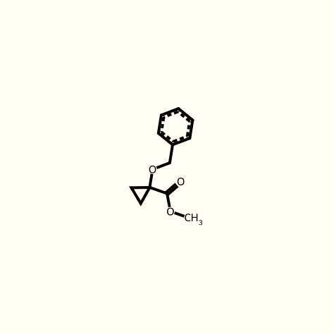 COC(=O)C1(OCc2ccccc2)CC1